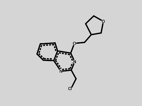 ClCc1nc(OCC2CCOC2)c2ccccc2n1